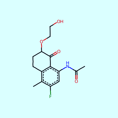 CC(=O)Nc1cc(F)c(C)c2c1C(=O)C(OCCO)CC2